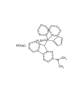 CN(C)c1ccc2c(c1)[CH]([Zr](=[SiH2])([C]1=CC=CC1)([c]1ccccc1)[c]1ccccc1)c1ccccc1-2.Cl.Cl